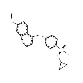 COc1ccc2c(Oc3ccc(S(N)(=O)=NC4CC4)cc3)ccnc2c1